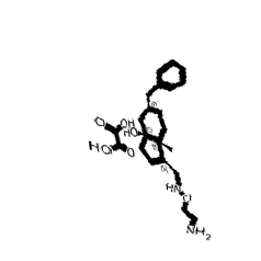 C[C@]12CC[C@H](Cc3ccccc3)C[C@@]1(O)CC[C@@H]2CNOCCN.O=C(O)C(=O)O